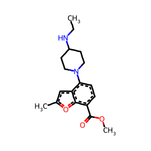 CCNC1CCN(c2ccc(C(=O)OC)c3oc(C)cc23)CC1